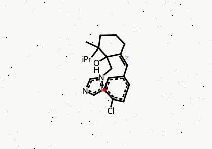 CC(C)C1(C)CCC/C(=C/c2ccc(Cl)cc2)C1(O)Cn1cncn1